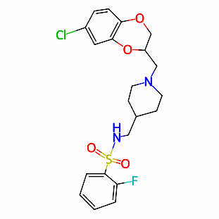 O=S(=O)(NCC1CCN(CC2COc3ccc(Cl)cc3O2)CC1)c1ccccc1F